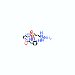 N=C(N)NCCCCS(=O)(=O)NCC1CCCN1C(=O)C(N)Cc1ccccc1